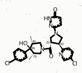 C[C@@H]1CN(C(=O)[C@@H]2CN(c3ccc(=O)[nH]n3)C[C@H]2c2ccc(Cl)cn2)C[C@H](C)[C@]1(O)c1ccc(Cl)cc1